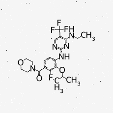 CCNc1nc(Nc2ccc(C(=O)N3CCOCC3)c(F)c2OC(C)C)ncc1C(F)(F)F